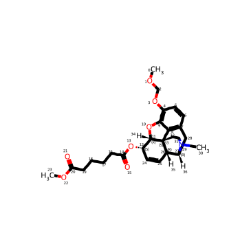 COCOc1ccc2c3c1O[C@H]1[C@@H](OC(=O)CCCCC(=O)OC)C=C[C@H]4[C@@H](C2)N(C)CC[C@@]341